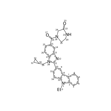 CCn1c2ccccc2c2cc(-c3nc4cc(C(=O)N5CCNC(=O)C5)ccc4n3CC3CC3)ccc21